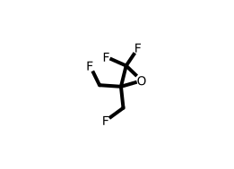 FCC1(CF)OC1(F)F